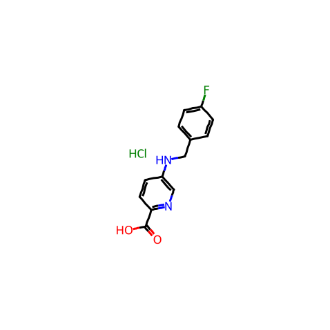 Cl.O=C(O)c1ccc(NCc2ccc(F)cc2)cn1